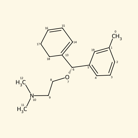 Cc1cccc([C@H](OCCN(C)C)C2=CC=CCC2)c1